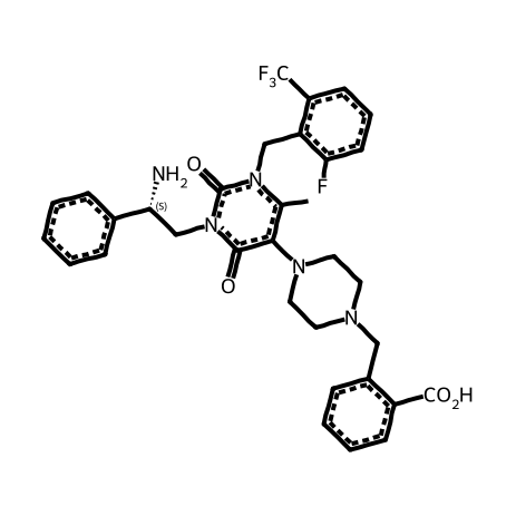 Cc1c(N2CCN(Cc3ccccc3C(=O)O)CC2)c(=O)n(C[C@@H](N)c2ccccc2)c(=O)n1Cc1c(F)cccc1C(F)(F)F